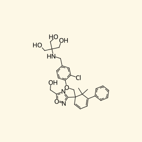 CC1(C)C(c2ccccc2)=CC=CC1(COc1ccc(CNC(CO)(CO)CO)cc1Cl)c1noc(CO)n1